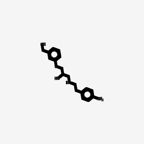 Nc1ccc(CCNCC(O)COc2cccc(CO)c2)cc1